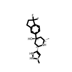 C[C@H]1C[C@@](O)(c2ccc3c(c2)CCC3(F)F)C[C@@H](C2=CN(C)NN2)N1